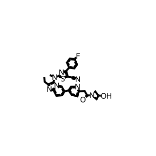 CCc1nc2ccc(-c3ccc(CC(=O)N4CC(O)C4)nc3)cn2c1N(C)c1nc(-c2ccc(F)cc2)c(C#N)s1